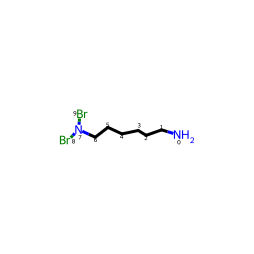 NCCCCCCN(Br)Br